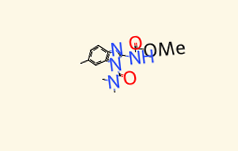 COC(=O)Nc1nc2ccc(C)cc2n1C(=O)N(C)C